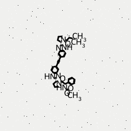 COC(=O)N[C@H](C(=O)N1CCC[C@@H]1c1nc2cc(C#Cc3ccc4[nH]c([C@@H]5CCCN5C(=O)[CH]C(C)C)nc4c3)ccc2[nH]1)c1ccccc1